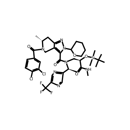 CNC(=O)[C@@H](CN(C(=O)c1c2c(nn1C1CCCCO1)C[C@@H](C)N(C(=O)c1ccc(Cl)c(Cl)c1)C2)[C@@H](C)c1cnc(C(F)(F)F)cn1)O[Si](C)(C)C(C)(C)C